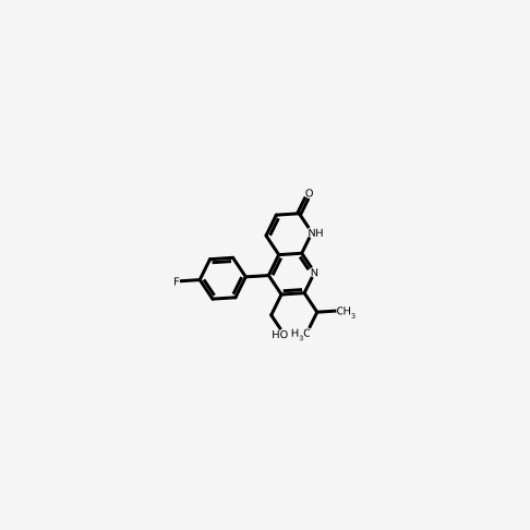 CC(C)c1nc2[nH]c(=O)ccc2c(-c2ccc(F)cc2)c1CO